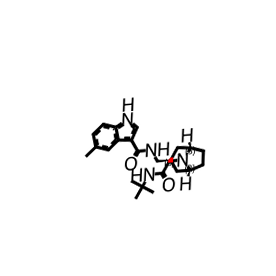 Cc1ccc2[nH]cc(C(=O)NC[C@@H]3C[C@H]4CC[C@@H](C3)N4CC(=O)NC(C)(C)C)c2c1